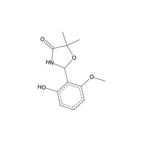 COc1cccc(O)c1C1NC(=O)C(C)(C)O1